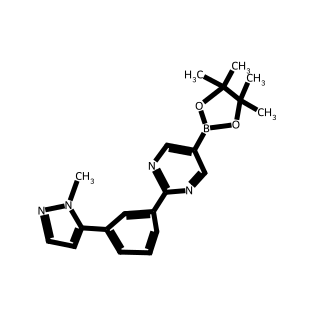 Cn1nccc1-c1cccc(-c2ncc(B3OC(C)(C)C(C)(C)O3)cn2)c1